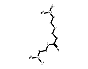 CC(C)N(CCSCCC(=O)SCCN(C(C)C)C(C)C)C(C)C